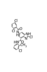 Cc1c(Cl)cccc1NC(=O)c1cc(NC(=O)c2cc(Cl)ccc2Cl)cc2[nH]c(Cl)nc12